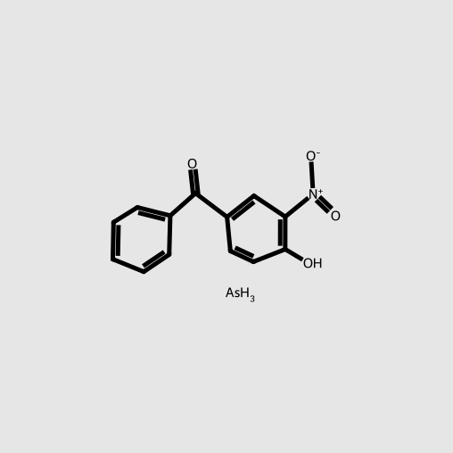 O=C(c1ccccc1)c1ccc(O)c([N+](=O)[O-])c1.[AsH3]